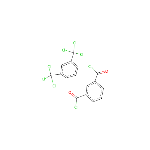 ClC(Cl)(Cl)c1cccc(C(Cl)(Cl)Cl)c1.O=C(Cl)c1cccc(C(=O)Cl)c1